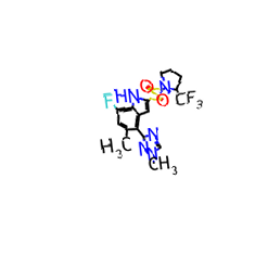 Cc1cc(F)c2[nH]c(S(=O)(=O)N3CCCC3C(F)(F)F)cc2c1-c1ncn(C)n1